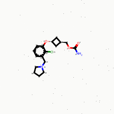 NC(=O)OC[C@H]1C[C@H](Oc2cccc(CN3CCCC3)c2Cl)C1